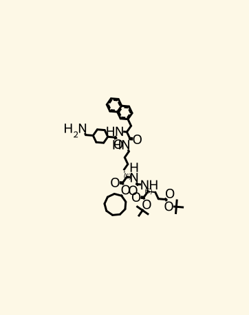 CC(C)(C)OC(=O)CC[C@H](NC(=O)N[C@@H](CCCCNC(=O)C(Cc1ccc2ccccc2c1)NC(=O)C1CCC(CN)CC1)C(=O)OC1CCCCCCCC1)C(=O)OC(C)(C)C